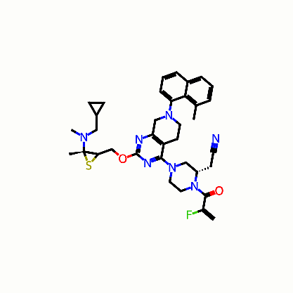 C=C(F)C(=O)N1CCN(c2nc(OCC3S[C@]3(C)N(C)CC3CC3)nc3c2CCN(c2cccc4cccc(C)c24)C3)C[C@@H]1CC#N